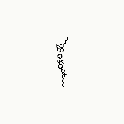 CCCCCCC(F)COc1ccc2nc(-c3ccc(COC(CCCCCC)C(F)(F)F)cc3)sc2c1